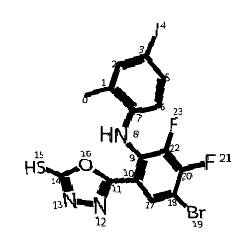 Cc1cc(I)ccc1Nc1c(-c2nnc(S)o2)cc(Br)c(F)c1F